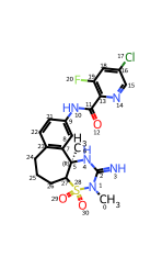 CN1C(=N)N[C@]2(C)c3cc(NC(=O)c4ncc(Cl)cc4F)ccc3CCCC2S1(=O)=O